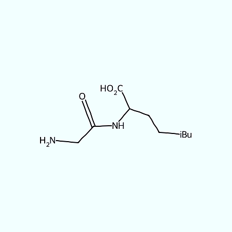 CCC(C)CCC(NC(=O)CN)C(=O)O